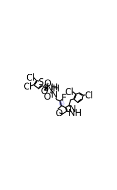 O=C(NC/C(F)=C1\COCc2[nH]nc(Cc3ccc(Cl)cc3Cl)c21)NS(=O)(=O)c1cc(Cl)c(Cl)s1